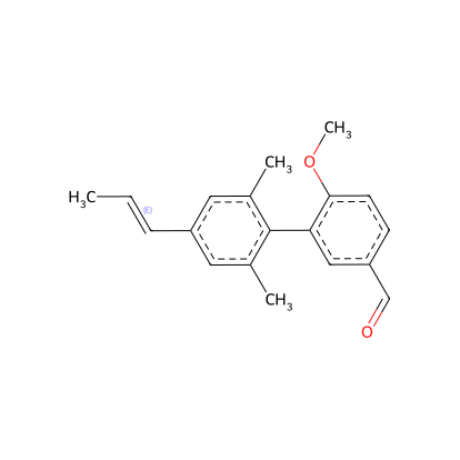 C/C=C/c1cc(C)c(-c2cc(C=O)ccc2OC)c(C)c1